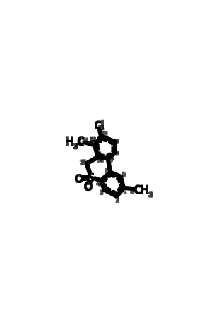 Cc1ccc2c(c1)-c1ccc(Cl)c(C)c1CS2(=O)=O